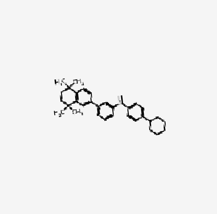 CC1(C)CCC(C)(C)c2cc(-c3cccc(Nc4ccc(C5CCCCC5)cc4)c3)ccc21